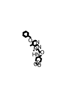 Cc1c(OCc2ccccc2)cnc2nc(C(=O)NC3(C)CCS(=O)(=O)CC3)n(C)c12